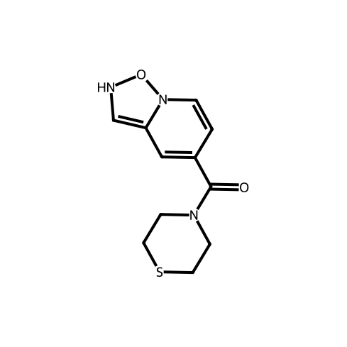 O=C(C1=CC2=CNON2C=C1)N1CCSCC1